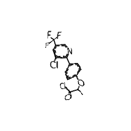 CC(Oc1ccc(-c2ncc(C(F)(F)F)cc2Cl)cc1)C(=O)Cl